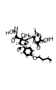 CCCCOc1ccc(S(=O)(=O)CC(O)(CSc2nc(=O)c(O)nn2C)C(=O)NO)cc1